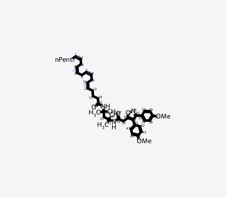 CCCCC/C=C\C/C=C\C/C=C\C/C=C\CCCC(=O)NC(C)(C)CC(C)(C)NC(=O)Cc1onc(-c2ccc(OC)cc2)c1-c1ccc(OC)cc1